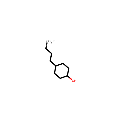 CCOC(=O)CCCC1CCC(O)CC1